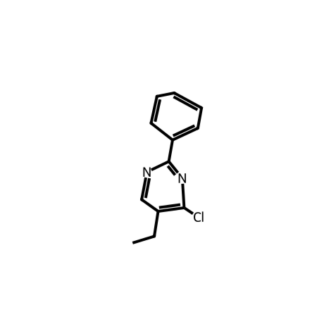 CCc1cnc(-c2ccccc2)nc1Cl